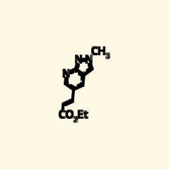 CCOC(=O)/C=C/c1cnc2nn(C)cc2c1